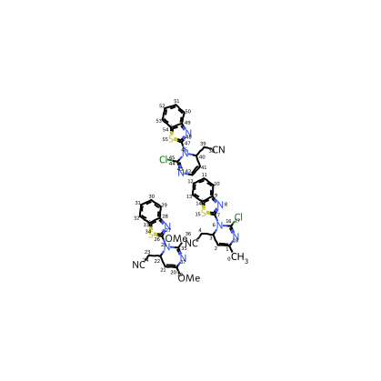 CC1=CC(CC#N)N(c2nc3ccccc3s2)C(Cl)=N1.COC1=CC(CC#N)N(c2nc3ccccc3s2)C(OC)=N1.N#CCC1C=CN=C(Cl)N1c1nc2ccccc2s1